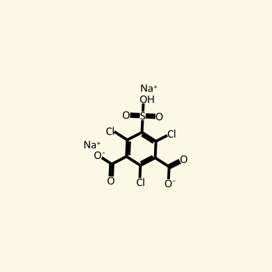 O=C([O-])c1c(Cl)c(C(=O)[O-])c(Cl)c(S(=O)(=O)O)c1Cl.[Na+].[Na+]